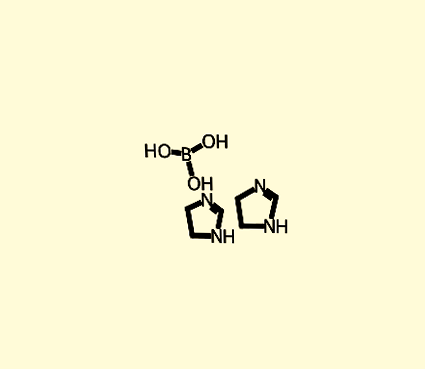 C1=NCCN1.C1=NCCN1.OB(O)O